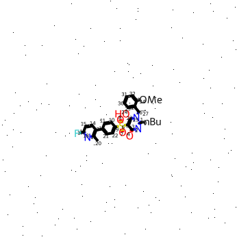 CCCCc1nc(=O)c(S(=O)(=O)c2ccc(-c3ccc(F)nc3C)cc2)c(O)n1[C@@H](C)c1ccccc1OC